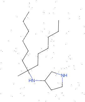 CCCCCCC(C)(CCCCCC)NC1CCNC1